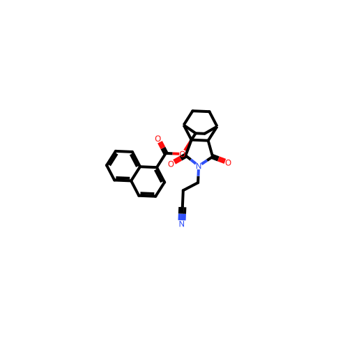 N#CCCN1C(=O)C2C3CCC(C(OC(=O)c4cccc5ccccc45)C3)C2C1=O